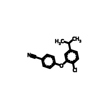 CC(C)c1ccc(Cl)c(Oc2ccc(C#N)cc2)c1